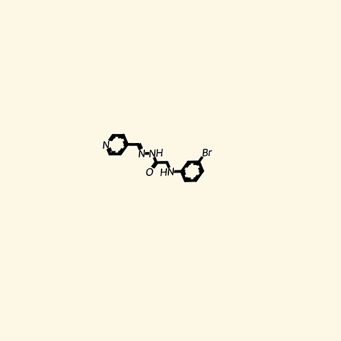 O=C(CNc1cccc(Br)c1)N/N=C/c1ccncc1